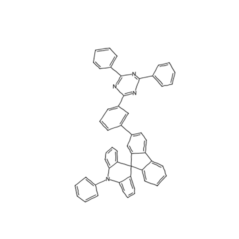 c1ccc(-c2nc(-c3ccccc3)nc(-c3cccc(-c4ccc5c(c4)C4(c6ccccc6-5)c5ccccc5N(c5ccccc5)c5ccccc54)c3)n2)cc1